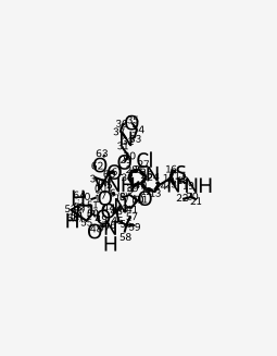 CC[C@@H]1C[C@]1(NC(=O)[C@@H]1C[C@@H](Oc2cc(-c3csc(NC(C)C)n3)nc3c(Cl)c(OCCN4CCOCC4)ccc23)CN1C(=O)C(NC(=O)O[C@@H]1C[C@@H]2C[C@@H]2C1)C(C)(C)C)C(=O)OC